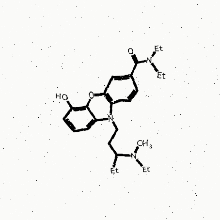 CCC(CCN1c2ccc(C(=O)N(CC)CC)cc2Oc2c(O)cccc21)N(C)CC